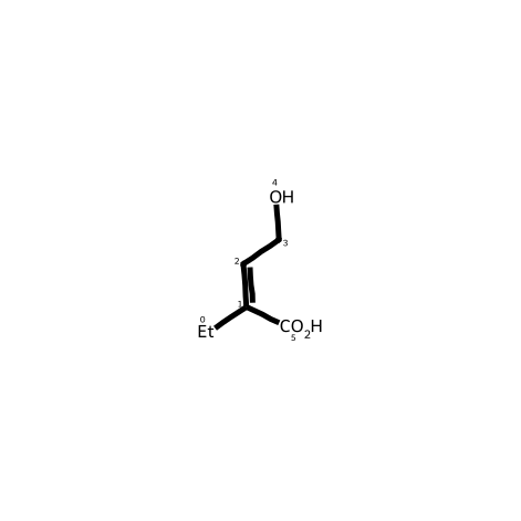 CCC(=CCO)C(=O)O